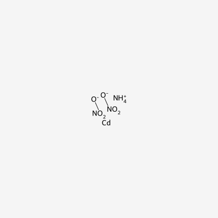 O=[N+]([O-])[O-].O=[N+]([O-])[O-].[Cd].[NH4+]